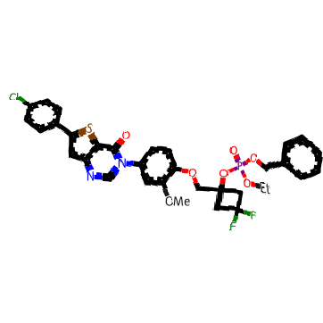 CCOP(=O)(OCc1ccccc1)OC1(COc2ccc(-n3cnc4cc(-c5ccc(Cl)cc5)sc4c3=O)cc2OC)CC(F)(F)C1